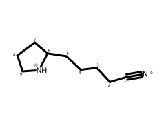 N#CCCCCC1CCCN1